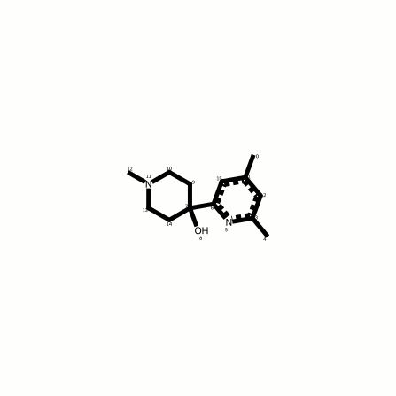 Cc1cc(C)nc(C2(O)CCN(C)CC2)c1